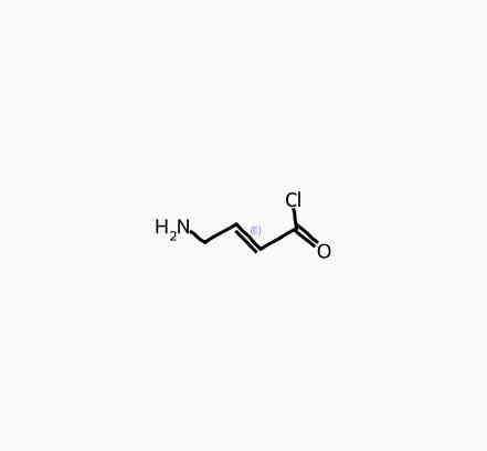 NC/C=C/C(=O)Cl